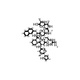 C[C@H](NC(=O)[C@H](CCCNC(=N)N)NC(=O)[C@H](Cc1ccc2ccccc2c1)NC(=O)[C@@H]1CCCCN1C(=O)[C@@H](CC(=O)O)NC(=O)CN(C)C(=O)[C@@H]1CCCN1)C(=O)N[C@H](C)C(=O)N[C@H](C)C(=O)O